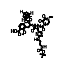 CCN1CCN(C(=O)NC(C(=O)NC(Cc2cccc(C(=O)O)c2OC)B2O[C@@H]3C[C@@H]4C[C@@H](C4(C)C)[C@]3(C)O2)c2csc(NCCNC(=O)OC(C)(C)C)n2)C(=O)C1=O